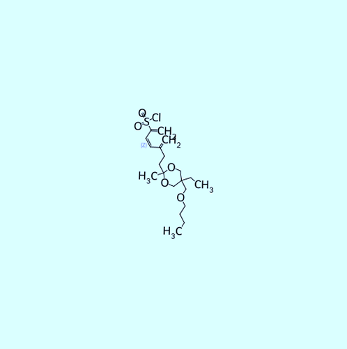 C=C(/C=C\C(=C)S(=O)(=O)Cl)CCC1(C)OCC(CC)(COCCCC)CO1